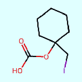 O=C(O)OC1(CI)CCCCC1